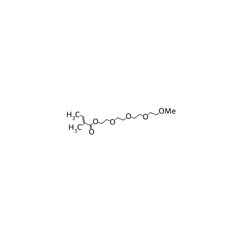 CC=C(C)C(=O)OCCOCCOCCOCCOC